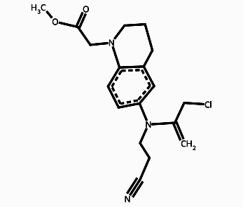 C=C(CCl)N(CCC#N)c1ccc2c(c1)CCCN2CC(=O)OC